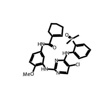 COc1ccc(NC(=O)C2=CCCCC2)cc1Nc1ncc(Cl)c(Nc2ccccc2P(C)(C)=O)n1